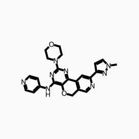 Cn1ccc(-c2cc3c(cn2)COc2c(Nc4ccncc4)nc(N4CCOCC4)nc2-3)n1